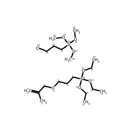 C=C(C)COCCC[Si](OCC)(OCC)OCC.CO[Si](CCCCl)(OC)OC